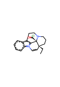 CC[C@]12C=Cn3c4c(c5ccccc53)CCN(CCC1)[C@@]42C(=O)Cl